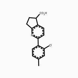 Cc1ccc(-c2ccc3c(n2)CCC3C(=O)O)c(Cl)c1